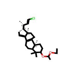 CCOC(C)OC1CC[C@]2(C)C3=C(CCC2C1(C)C)C1=CC[C@H]([C@H](C)C=CCl)[C@@]1(C)CC3